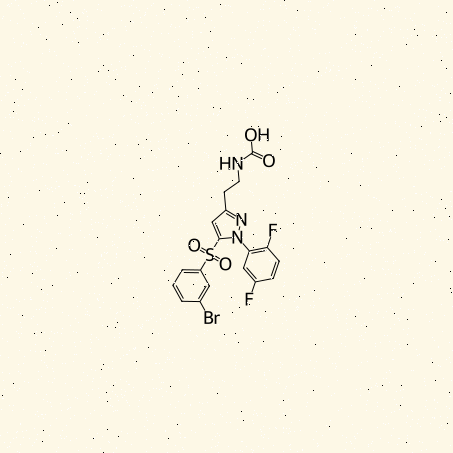 O=C(O)NCCc1cc(S(=O)(=O)c2cccc(Br)c2)n(-c2cc(F)ccc2F)n1